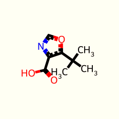 CC(C)(C)c1ocnc1C(=O)O